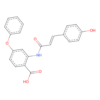 O=C(/C=C/c1ccc(O)cc1)Nc1cc(Oc2ccccc2)ccc1C(=O)O